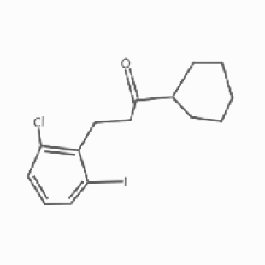 O=C(CCc1c(Cl)cccc1I)C1CCCCC1